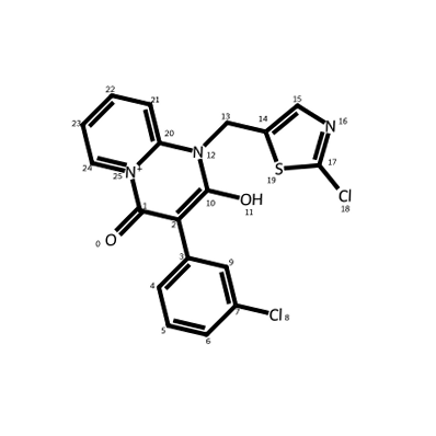 O=c1c(-c2cccc(Cl)c2)c(O)n(Cc2cnc(Cl)s2)c2cccc[n+]12